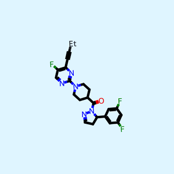 CCC#Cc1nc(N2CCC(C(=O)N3N=CCC3c3cc(F)cc(F)c3)CC2)ncc1F